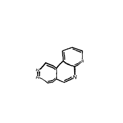 c1cnc2ncc3cnncc3c2c1